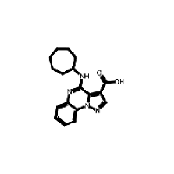 O=C(O)c1cnn2c1c(NC1CCCCCC1)nc1ccccc12